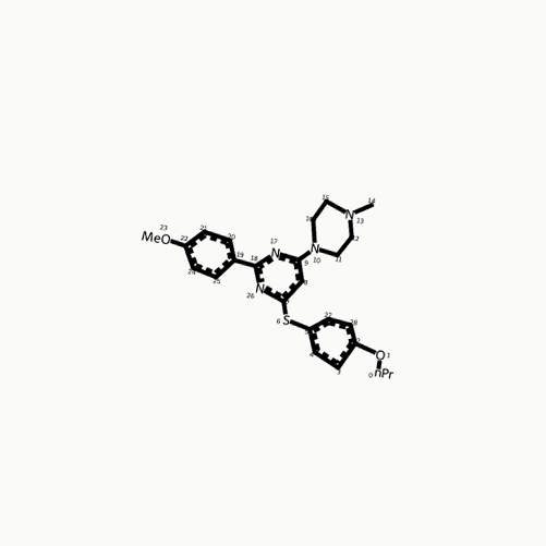 CCCOc1ccc(Sc2cc(N3CCN(C)CC3)nc(-c3ccc(OC)cc3)n2)cc1